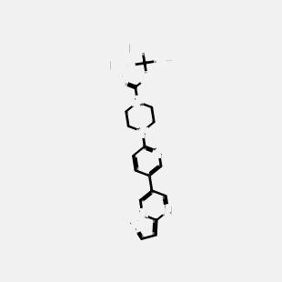 CC(C)(C)OC(=O)N1CCN(c2ccc(-c3cnc4ccnn4c3)cn2)CC1